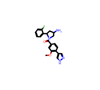 COc1cc(C(=O)N2CC(N)CC2c2ccccc2F)ccc1-c1cn[nH]c1